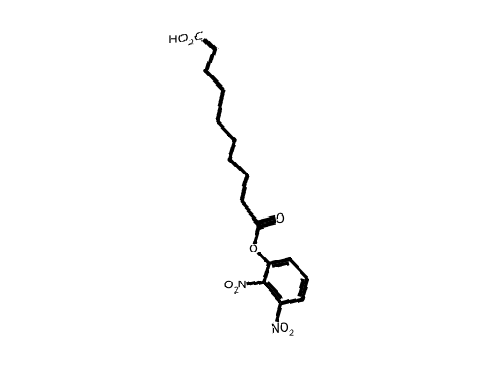 O=C(O)CCCCCCCCC(=O)Oc1cccc([N+](=O)[O-])c1[N+](=O)[O-]